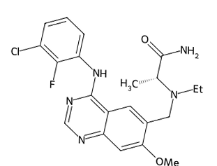 CCN(Cc1cc2c(Nc3cccc(Cl)c3F)ncnc2cc1OC)[C@H](C)C(N)=O